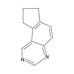 c1ncc2c3c(ccc2n1)CCC3